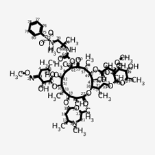 CON=C1C[C@@H](C)O[C@@H](O[C@@H]2[C@@H](C)[C@H](O[C@H]3CC(C)N(C)CC(C)O3)[C@@H](C)C(=O)O[C@H]([C@@H](C)CO[C@@H]3O[C@H](C)[C@@H](O)[C@@H](OC)[C@H]3OC)[C@H](C)[C@@H](OC(=O)CC(C)C)[C@@H](C)C(=O)[C@@](C)(OC(=O)NC(C)(C)CNS(=O)(=O)c3ccccc3)C[C@@H]2C)[C@@H]1O